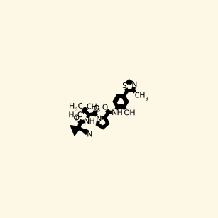 CC1N=CSC1c1ccc(NC(=O)C2CCCN2C(=O)C(NC(=O)C2(C#N)CC2)C(C)(C)C)c(O)c1